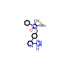 CCCCc1c(C)n(-c2ccccc2)c(=O)n1Cc1ccc(-c2cccnc2-c2nnn[nH]2)cc1